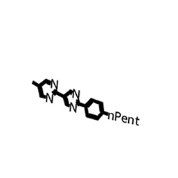 CCCCCc1ccc(-c2ncc(-c3ncc(C)cn3)cn2)cc1